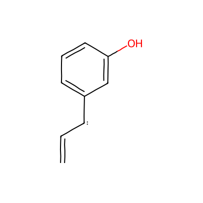 C=C[C]c1cccc(O)c1